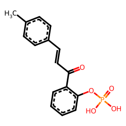 Cc1ccc(C=CC(=O)c2ccccc2OP(=O)(O)O)cc1